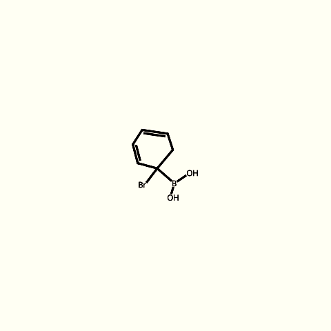 OB(O)C1(Br)C=CC=CC1